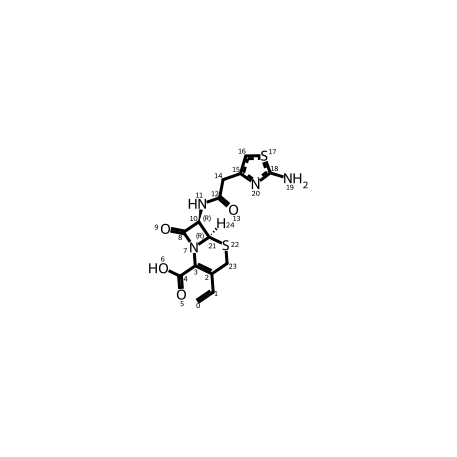 C=CC1=C(C(=O)O)N2C(=O)[C@@H](NC(=O)Cc3csc(N)n3)[C@H]2SC1